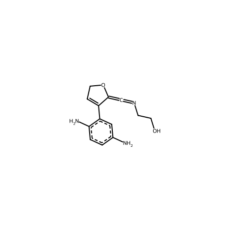 Nc1ccc(N)c(C2=CCOC2=C=NCCO)c1